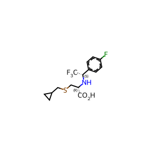 O=C(O)[C@H](CSCC1CC1)N[C@@H](c1ccc(F)cc1)C(F)(F)F